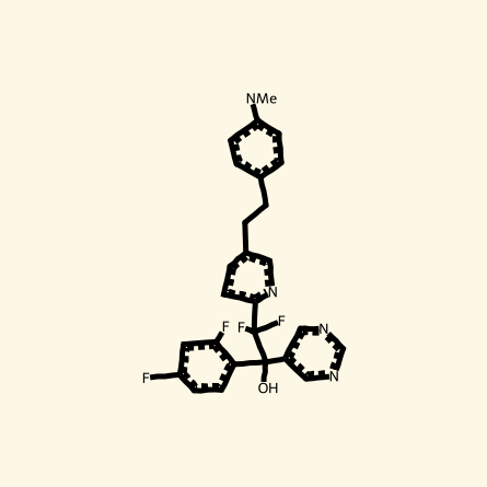 CNc1ccc(CCc2ccc(C(F)(F)C(O)(c3cncnc3)c3ccc(F)cc3F)nc2)cc1